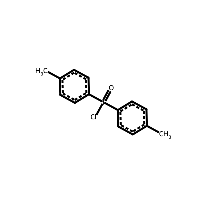 Cc1ccc(I(=O)(Cl)c2ccc(C)cc2)cc1